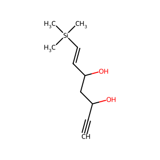 C#CC(O)CC(O)C=C[Si](C)(C)C